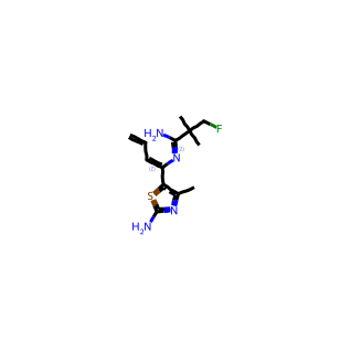 C=C/C=C(\N=C(/N)C(C)(C)CF)c1sc(N)nc1C